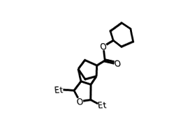 CCC1OC(CC)C2C3CC(CC3C(=O)OC3CCCCC3)C12